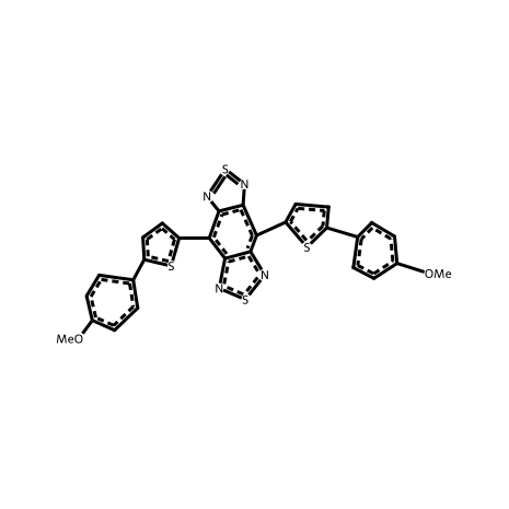 COc1ccc(-c2ccc(-c3c4c(c(-c5ccc(-c6ccc(OC)cc6)s5)c5nsnc35)N=S=N4)s2)cc1